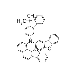 CC1(C)c2ccccc2-c2cc(N(c3ccc4oc5ccccc5c4c3)c3cccc4ccc5c6ccccc6oc5c34)ccc21